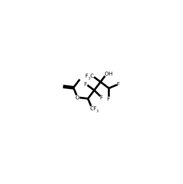 C=C(C)OC(C(F)(F)F)C(F)(F)C(O)(C(F)F)C(F)(F)F